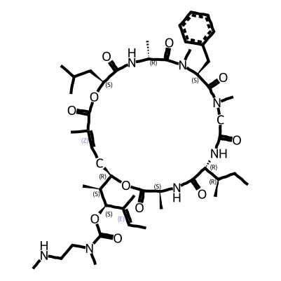 C/C=C(\C)[C@@H](OC(=O)N(C)CCNC)[C@@H](C)[C@H]1C/C=C(/C)C(=O)O[C@@H](CC(C)C)C(=O)N[C@H](C)C(=O)N(C)[C@@H](Cc2ccccc2)C(=O)N(C)CC(=O)N[C@H]([C@H](C)CC)C(=O)N[C@@H](C)C(=O)O1